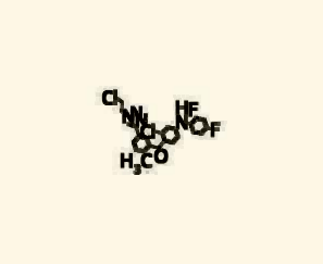 Cc1ccc(-c2cn(CCCl)nn2)cc1C(=O)c1ccc(Nc2ccc(F)cc2F)cc1Cl